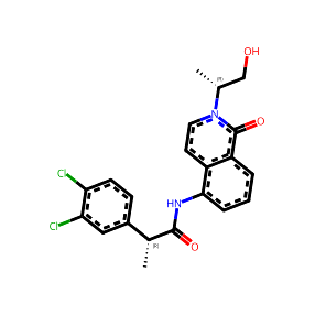 C[C@H](CO)n1ccc2c(NC(=O)[C@H](C)c3ccc(Cl)c(Cl)c3)cccc2c1=O